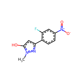 Cn1nc(-c2ccc([N+](=O)[O-])cc2F)cc1O